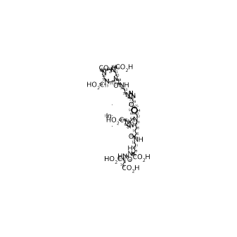 O=C(O)CC[C@H](NC(=O)N[C@@H](CCCCNC(=O)CCCCCN(Cc1ccc(OCc2cn(CCCNC(=O)CN3CCN(CC(=O)O)CCN(CC(=O)O)CCN(CC(=O)O)CC3)nn2)cc1)Cc1nccn1CC(=O)O)C(=O)O)C(=O)O.[In]